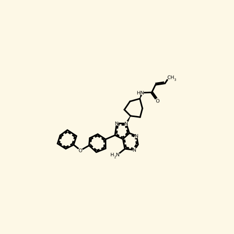 C/C=C/C(=O)N[C@H]1CC[C@@H](n2nc(-c3ccc(Oc4ccccc4)cc3)c3c(N)ncnc32)CC1